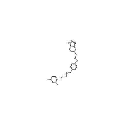 Cc1ccc(CCOOCc2ccc(OOCc3ccc4[nH]nnc4c3)cc2)c(C)c1